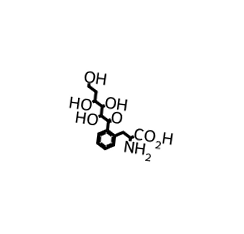 NC(Cc1ccccc1C(=O)C(O)C(O)C(O)CCO)C(=O)O